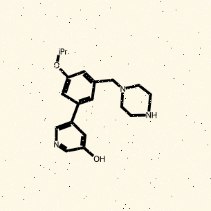 CC(C)Oc1cc(CN2CCNCC2)cc(-c2cncc(O)c2)c1